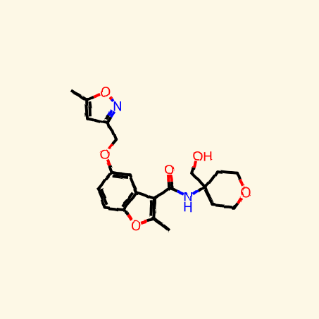 Cc1cc(COc2ccc3oc(C)c(C(=O)NC4(CO)CCOCC4)c3c2)no1